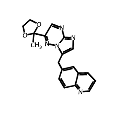 CC1(c2cnc3ncc(Cc4ccc5ncccc5c4)n3n2)OCCO1